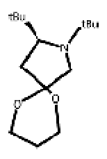 CC(C)(C)[C@@H]1CC2(CN1C(C)(C)C)OCCCO2